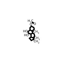 C=C1CCC2C3C(CC[C@]12C)[C@@]1(C)CC[C@H](OC(C)=O)CC1C(O)[C@@H]3O